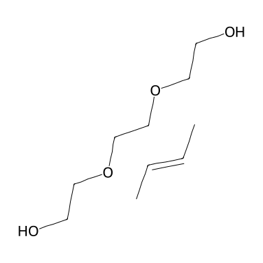 CC=CC.OCCOCCOCCO